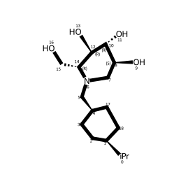 CC(C)[C@H]1CC[C@@H](CN2C[C@H](O)[C@@H](O)[C@H](O)[C@H]2CO)CC1